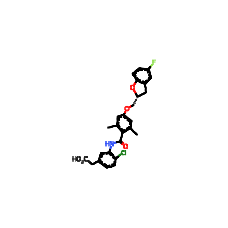 Cc1cc(OC[C@H]2Cc3cc(F)ccc3O2)cc(C)c1C(=O)Nc1cc(CC(=O)O)ccc1Cl